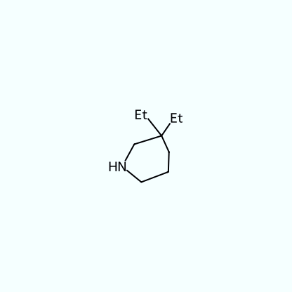 CCC1(CC)CCCNC1